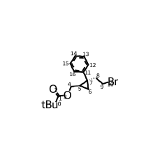 CC(C)(C)C(=O)OC[C@@H]1C[C@]1(CCBr)c1ccccc1